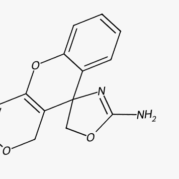 NC1=NC2(CO1)C1=C(C=COC1)Oc1ccccc12